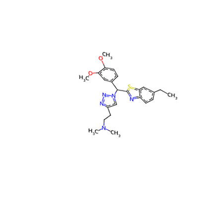 CCc1ccc2nc(C(c3ccc(OC)c(OC)c3)n3cc(CCN(C)C)nn3)sc2c1